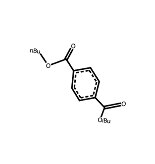 CCCCOC(=O)c1ccc(C(=O)OCC(C)C)cc1